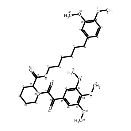 COc1ccc(CCCCCCOC(=O)C2CCCCN2C(=O)C(=O)c2cc(OC)c(OC)c(OC)c2)cc1OC